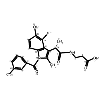 Cc1c([C@H](C)C(=O)NCCC(=O)O)c2c(F)c(O)ccc2n1C(=O)c1cccc(Cl)c1